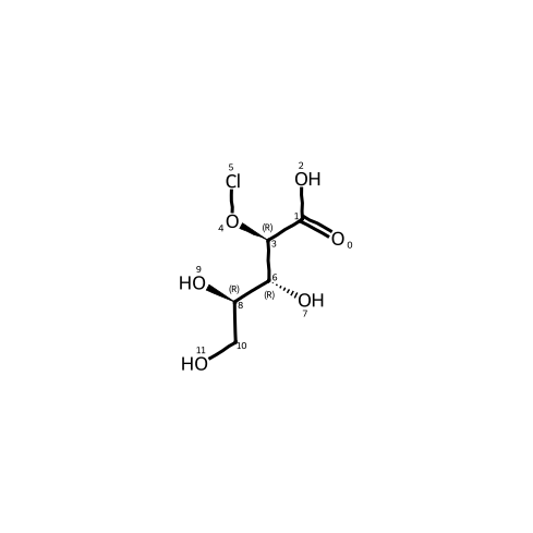 O=C(O)[C@H](OCl)[C@H](O)[C@H](O)CO